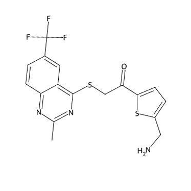 Cc1nc(SCC(=O)c2ccc(CN)s2)c2cc(C(F)(F)F)ccc2n1